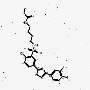 COC(=O)NCCCCNS(=O)(=O)c1cc(-c2nc(-c3ccc(Br)c(F)c3)c[nH]2)ccc1Cl